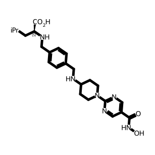 CC(C)C[C@H](NCc1ccc(CNC2CCN(c3ncc(C(=O)NO)cn3)CC2)cc1)C(=O)O